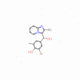 CCc1nc2ccccn2c1C(O)c1cc(C)c(O)c(Br)c1